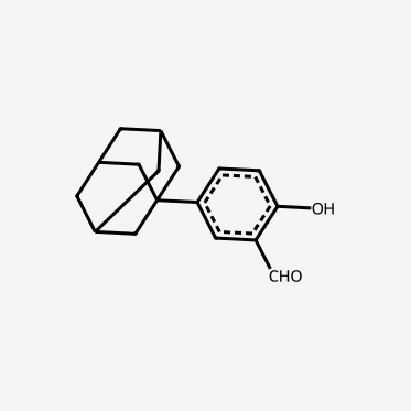 O=Cc1cc(C23CC4CC(CC(C4)C2)C3)ccc1O